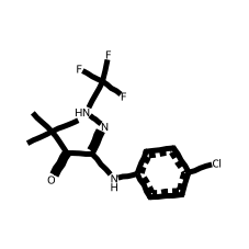 CC(C)(C)C(=O)C(=NNC(F)(F)F)Nc1ccc(Cl)cc1